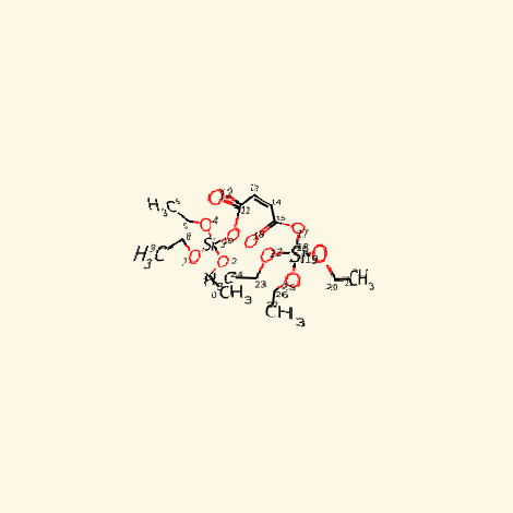 CCO[Si](OCC)(OCC)OC(=O)/C=C\C(=O)O[Si](OCC)(OCC)OCC